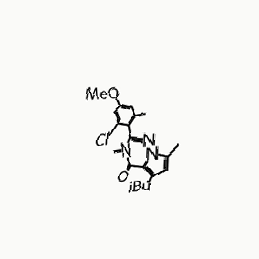 CCC(C)c1cc(C)n2nc(-c3c(C)cc(OC)cc3Cl)n(C)c(=O)c12